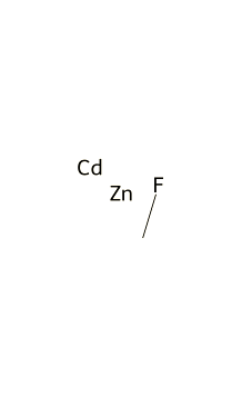 CF.[Cd].[Zn]